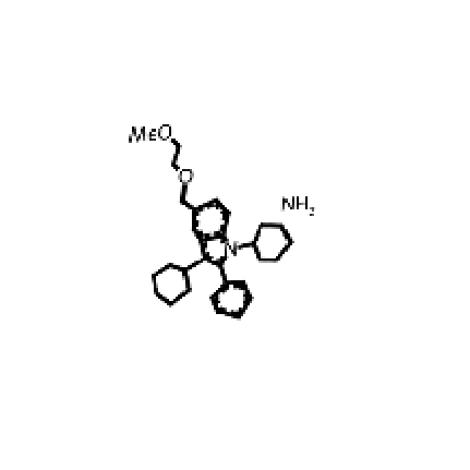 COCCOCc1ccc2c(c1)c(C1CCCCC1)c(-c1ccccc1)n2C1CCCCC1.N